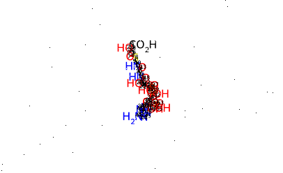 CC(O)(CC(=O)O)CC(=O)SCCNC(=O)CCNC(=O)C(O)C(C)(C)COP(=O)(O)OP(=O)(O)OC[C@H]1O[C@@H](n2cnc3c(N)ncnc32)C(O)C1OP(=O)(O)O